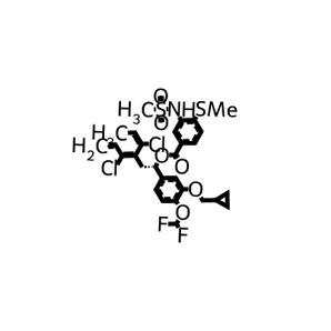 C=C/C(Cl)=C(C[C@H](OC(=O)c1ccc(SC)c(NS(C)(=O)=O)c1)c1ccc(OC(F)F)c(OCC2CC2)c1)\C(Cl)=C/C